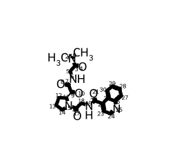 CN(C)C(=O)CNC(=O)C(=O)[C@@H]1CCCN1C(=O)CNC(=O)c1ccnc2ccccc12